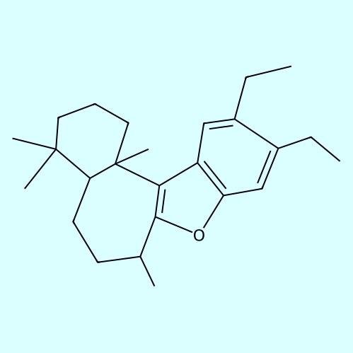 CCc1cc2oc3c(c2cc1CC)C1(C)CCCC(C)(C)C1CCC3C